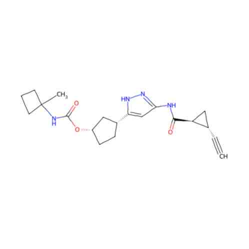 C#C[C@H]1C[C@@H]1C(=O)Nc1cc([C@@H]2CC[C@H](OC(=O)NC3(C)CCC3)C2)[nH]n1